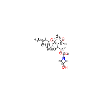 CO[C@H]1[C@H](C(C)(C)OCC=C(C)C)C2(CC[C@H]1OC(=O)N1CC(O)C1)CO2